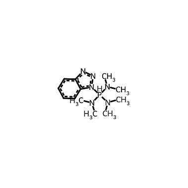 CN(C)[PH](N(C)C)(N(C)C)n1nnc2ccccc21